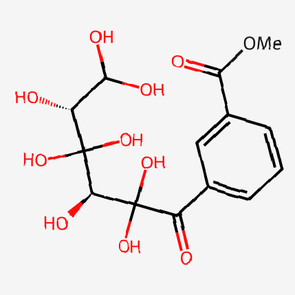 COC(=O)c1cccc(C(=O)C(O)(O)[C@@H](O)C(O)(O)[C@H](O)C(O)O)c1